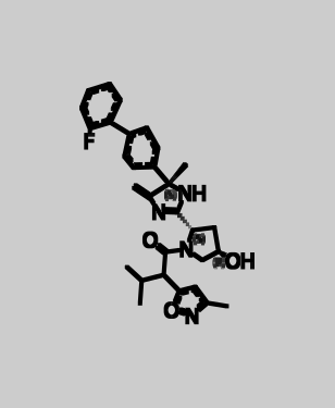 C=C1N=C([C@@H]2C[C@@H](O)CN2C(=O)C(c2cc(C)no2)C(C)C)N[C@@]1(C)c1ccc(-c2ccccc2F)cc1